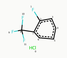 Cl.Fc1ccccc1C(F)(F)F